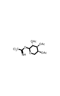 CC(=O)O[C@H]1[C@@H](OC(C)=O)COC(OC(=N)C(Cl)(Cl)Cl)[C@@H]1OC(C)=O